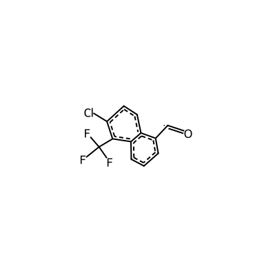 O=[C]c1cccc2c(C(F)(F)F)c(Cl)ccc12